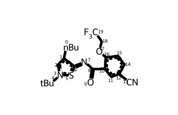 CCCCc1cn(C(C)(C)C)s/c1=N\C(=O)c1cc(C#N)ccc1OCC(F)(F)F